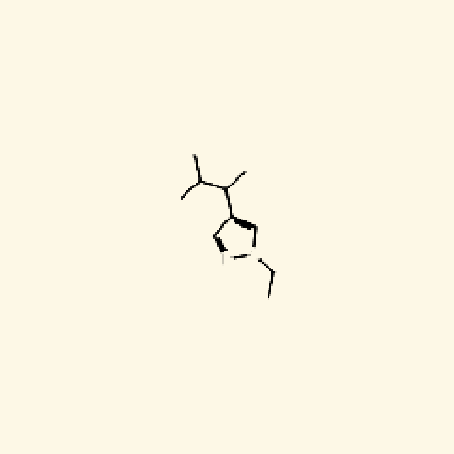 CCn1cc(C(C)C(C)C)cn1